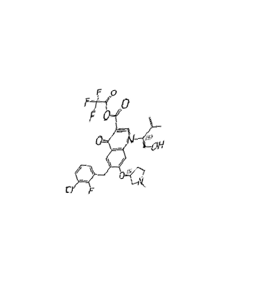 CC(C)[C@@H](CO)n1cc(C(=O)OC(=O)C(F)(F)F)c(=O)c2cc(Cc3cccc(Cl)c3F)c(O[C@H]3CCN(C)C3)cc21